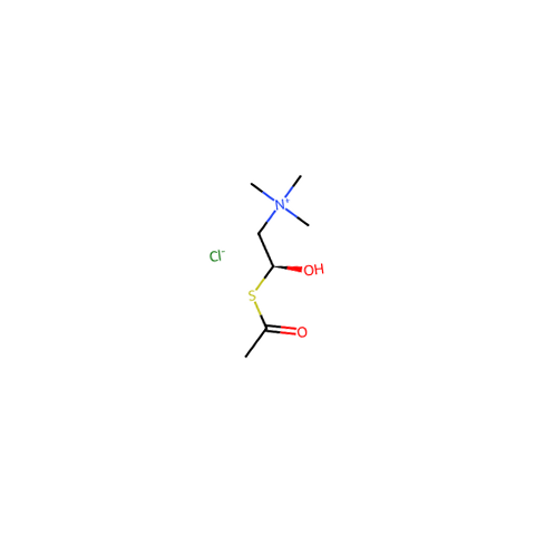 CC(=O)S[C@H](O)C[N+](C)(C)C.[Cl-]